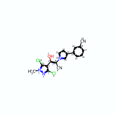 Cn1nc(Cl)c(/C(O)=C(\C#N)n2ccc(-c3cccc(C#N)c3)c2)c1Cl